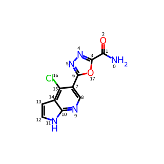 NC(=O)c1nnc(-c2cnc3[nH]ccc3c2Cl)o1